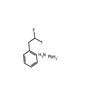 FC(I)Cc1ccccc1.N.[PbH2]